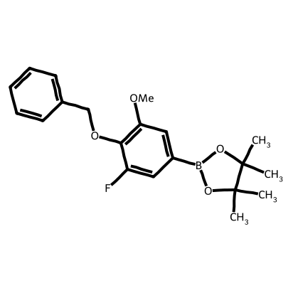 COc1cc(B2OC(C)(C)C(C)(C)O2)cc(F)c1OCc1ccccc1